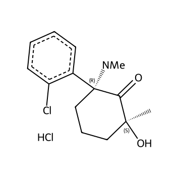 CN[C@@]1(c2ccccc2Cl)CCC[C@](C)(O)C1=O.Cl